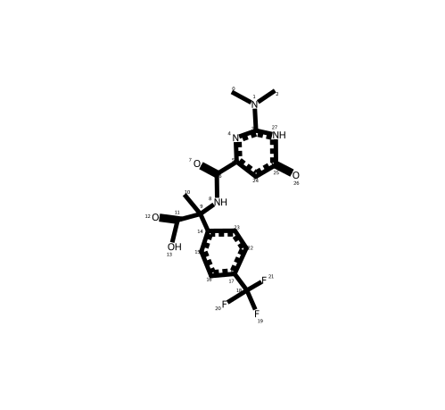 CN(C)c1nc(C(=O)NC(C)(C(=O)O)c2ccc(C(F)(F)F)cc2)cc(=O)[nH]1